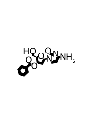 Nc1ccn([C@H]2CC(OC(=O)c3ccccc3)[C@@H](CO)O2)c(=O)n1